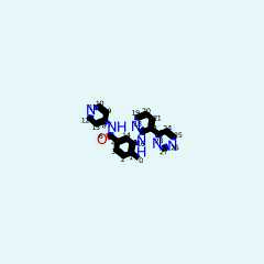 Cc1ccc(C(=O)Nc2ccncc2)cc1Nc1ncccc1-c1ccncn1